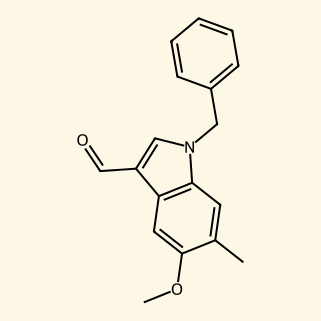 COc1cc2c(C=O)cn(Cc3ccccc3)c2cc1C